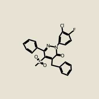 CS(=O)(=O)c1c(-c2ccccc2)nn(-c2ccc(F)c(Cl)c2)c(=O)c1Cc1ccccc1